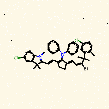 CC/C(=C/C=C1\CCC(/C=C/C2=[N+](C)c3ccc(Cl)cc3C2(C)C)=C1N(c1ccccc1)c1ccccc1)C(C)(C)c1cc(Cl)ccc1C